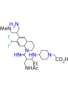 CCC(NC1CCN(CC(=O)O)CC1)C(CNC(C)=O)C(=N)N1CCCC2C=C(C(CN)CNC)C(C(F)F)=CC21